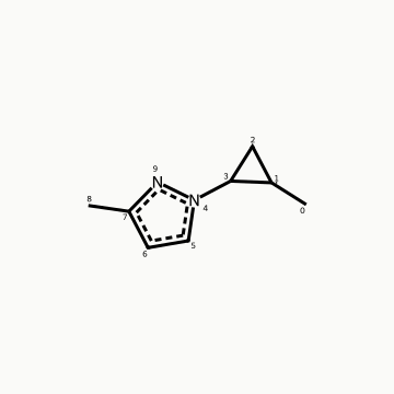 C[C]1CC1n1ccc(C)n1